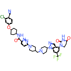 N#Cc1ccc(OC2CCC(NC(=O)c3ccc(N4CCC(CN5CCC(n6ncc7c(N8CCC(=O)NC8=O)cc(C(F)(F)F)cc76)CC5)CC4)nn3)CC2)cc1Cl